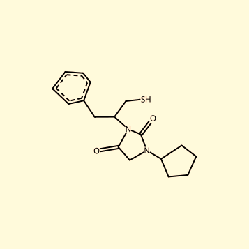 O=C1CN(C2CCCC2)C(=O)N1C(CS)Cc1ccccc1